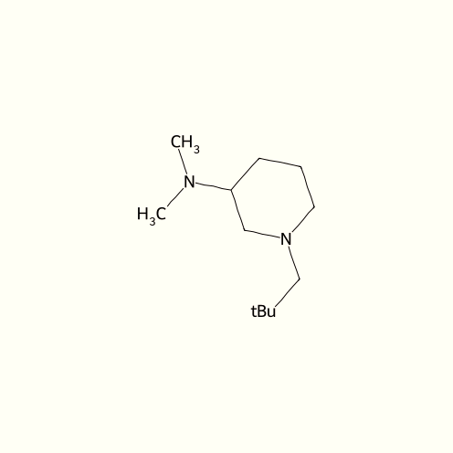 CN(C)C1CCCN(CC(C)(C)C)C1